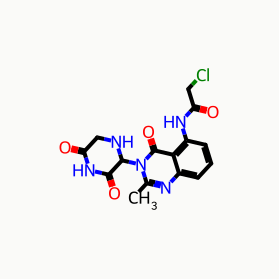 Cc1nc2cccc(NC(=O)CCl)c2c(=O)n1C1NCC(=O)NC1=O